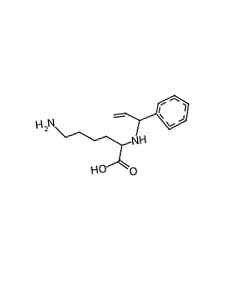 C=CC(NC(CCCCN)C(=O)O)c1ccccc1